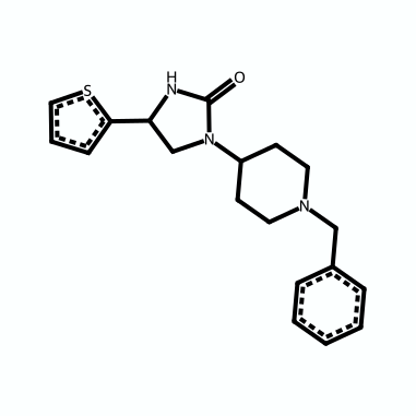 O=C1NC(c2cccs2)CN1C1CCN(Cc2ccccc2)CC1